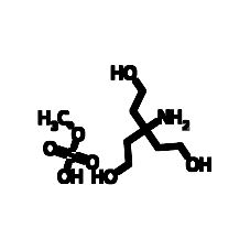 COS(=O)(=O)O.NC(CCO)(CCO)CCO